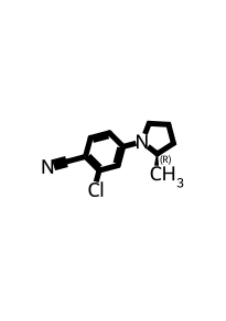 C[C@@H]1CCCN1c1ccc(C#N)c(Cl)c1